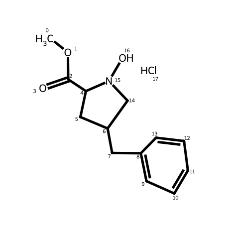 COC(=O)C1CC(Cc2ccccc2)CN1O.Cl